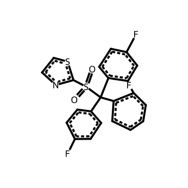 O=S(=O)(c1nccs1)C(c1ccc(F)cc1)(c1ccc(F)cc1)c1ccccc1F